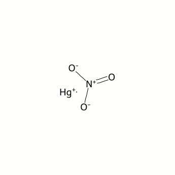 O=[N+]([O-])[O-].[Hg+]